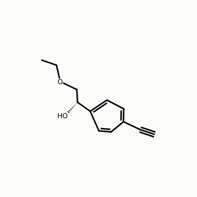 C#Cc1ccc([C@H](O)COCC)cc1